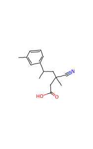 Cc1cccc(C(C)CC(C)(C#N)CC(=O)O)c1